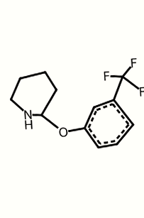 FC(F)(F)c1cccc(OC2CCCCN2)c1